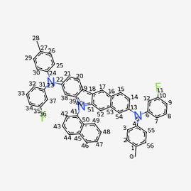 Cc1ccc(N(c2cccc(F)c2)c2ccc3cc4c5ccc(N(c6ccc(C)cc6)c6cccc(F)c6)cc5n(-c5cccc6ccccc56)c4cc3c2)cc1